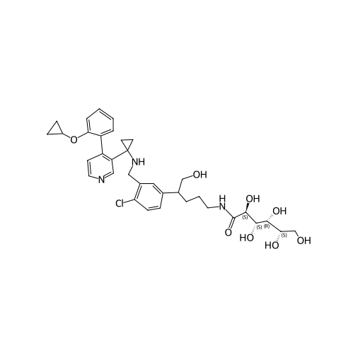 O=C(NCCCC(CO)c1ccc(Cl)c(CNC2(c3cnccc3-c3ccccc3OC3CC3)CC2)c1)[C@@H](O)[C@@H](O)[C@H](O)[C@@H](O)CO